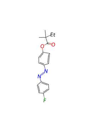 CCC(C)(C)C(=O)Oc1ccc(/N=N/c2ccc(F)cc2)cc1